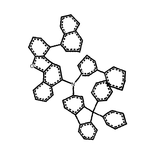 c1ccc(-c2cccc(N(c3ccc4c(c3)C(c3ccccc3)(c3ccccc3)c3ccccc3-4)c3cc4c(oc5cccc(-c6cccc7ccccc67)c54)c4ccccc34)c2)cc1